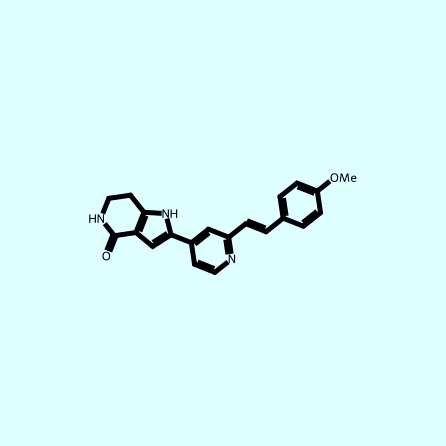 COc1ccc(/C=C/c2cc(-c3cc4c([nH]3)CCNC4=O)ccn2)cc1